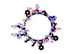 CCCC[C@H]1C(=O)N(C)[C@@H](CCCC)C(=O)N[C@@H](CCCNC(=N)N)C(=O)NC(C(=O)NCC(N)=O)CSCC(=O)N[C@@H](Cc2ccc(O)cc2)C(=O)N(C)[C@@H](CO)C(=O)N[C@@H](CC(N)=O)C(=O)N2CCC[C@H]2C(=O)N[C@@H](Cc2cnc[nH]2)C(=O)N[C@@H](CC(C)C)C(=O)N2C[C@H](O)CC2(C=O)N[C@@H](Cc2c[nH]c3ccccc23)C(=O)N[C@@H](CO)C(=O)N[C@@H](Cc2csc3ccccc23)C(=O)N1C